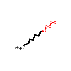 CCCCCCCCCCCCCCOOOO[O]